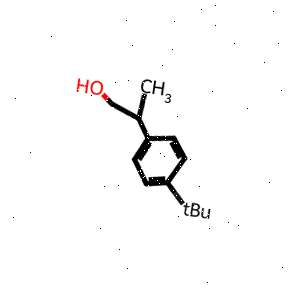 CC(CO)c1ccc(C(C)(C)C)cc1